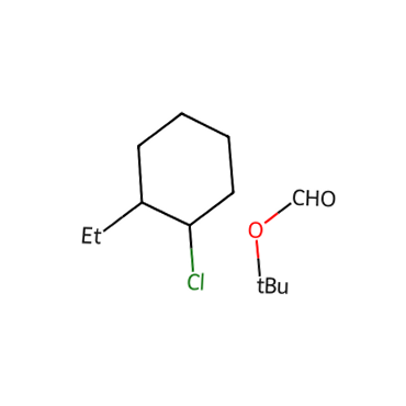 CC(C)(C)OC=O.CCC1CCCCC1Cl